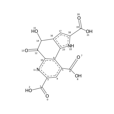 O=C(O)c1cc(C(=O)O)c2c(n1)C(=O)C(O)c1cc(C(=O)O)[nH]c1-2